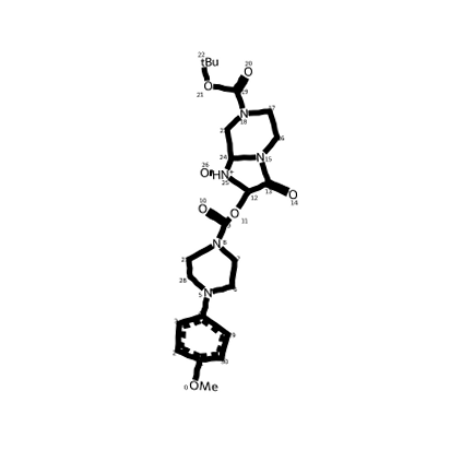 COc1ccc(N2CCN(C(=O)OC3C(=O)N4CCN(C(=O)OC(C)(C)C)CC4[NH+]3[O-])CC2)cc1